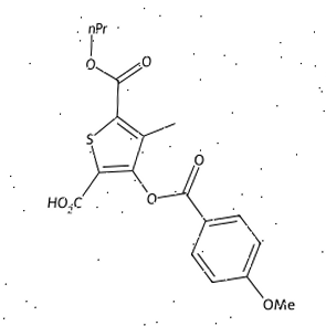 CCCOC(=O)c1sc(C(=O)O)c(OC(=O)c2ccc(OC)cc2)c1C